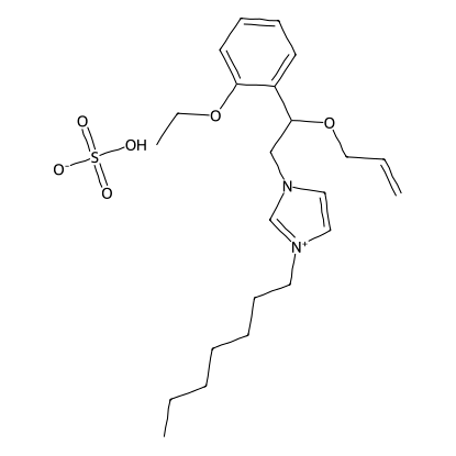 C=CCOC(Cn1cc[n+](CCCCCCC)c1)c1ccccc1OCC.O=S(=O)([O-])O